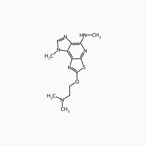 CNc1nc2sc(OCCN(C)C)nc2c2c1ncn2C